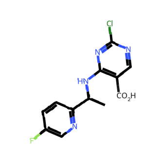 CC(Nc1nc(Cl)ncc1C(=O)O)c1ccc(F)cn1